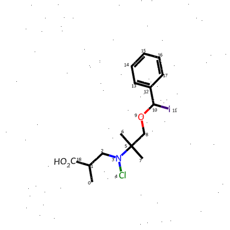 CC(CN(Cl)C(C)(C)COC(I)c1ccccc1)C(=O)O